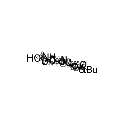 C[C@@H](CO)NC(=O)C1CC=C(c2ccc(OCC3CCN(C(=O)OC(C)(C)C)CC3)nc2)CC1